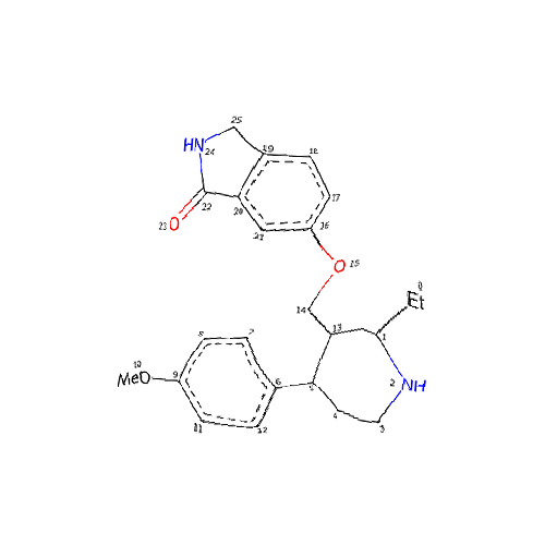 CCC1NCCC(c2ccc(OC)cc2)C1COc1ccc2c(c1)C(=O)NC2